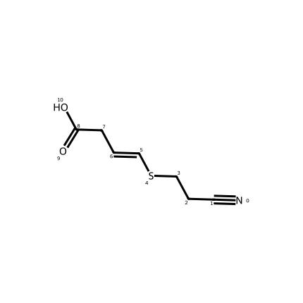 N#CCCSC=CCC(=O)O